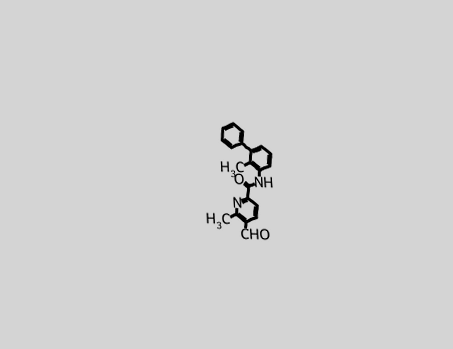 Cc1nc(C(=O)Nc2cccc(-c3ccccc3)c2C)ccc1C=O